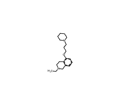 CCN1CCc2c(cccc2OCCCN2CCCCC2)C1